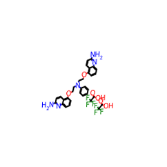 Nc1ccc2c(OCCN(CCOc3cccc4nc(N)ccc34)c3ccccc3)cccc2n1.O=C(O)C(F)(F)F.O=C(O)C(F)(F)F